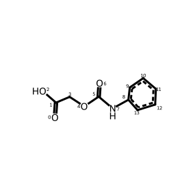 O=C(O)COC(=O)Nc1ccccc1